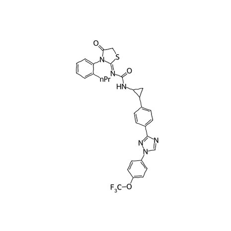 CCCc1ccccc1N1C(=O)CSC1=NC(=O)NC1CC1c1ccc(-c2ncn(-c3ccc(OC(F)(F)F)cc3)n2)cc1